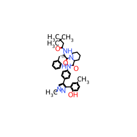 Cc1ccc(O)c(-c2nn(C)cc2-c2ccc(NC(=O)C3CCCCN3C(=O)[C@H](Cc3ccccc3)NC(=O)CC(C)(C)C)cc2)c1